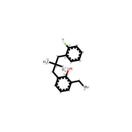 CC(C)(C)Cc1cccc(CC(C)(C)Cc2ccccc2F)c1O